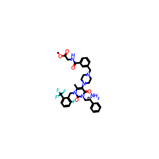 COC(=O)CNC(=O)c1cccc(CN2CCN(c3c(C)n(Cc4c(F)cccc4C(F)(F)F)c(=O)n(C[C@H](N)c4ccccc4)c3=O)CC2)c1